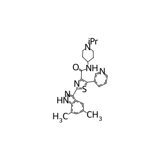 Cc1cc(C)c2[nH]nc(-c3nc(C(=O)NC4CCN(C(C)C)CC4)c(-c4cccnc4)s3)c2c1